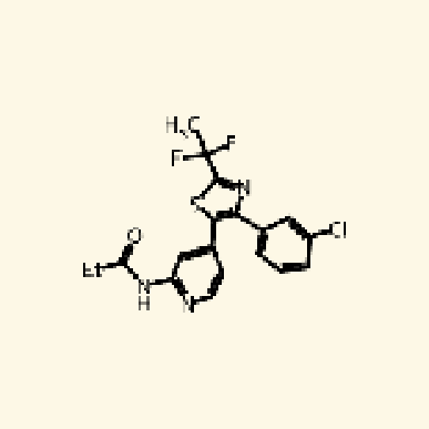 CCC(=O)Nc1cc(-c2sc(C(C)(F)F)nc2-c2cccc(Cl)c2)ccn1